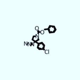 [N-]=[N+]=NC1(c2ccc(Cl)cc2)CCN(C(=O)OCc2ccccc2)C1